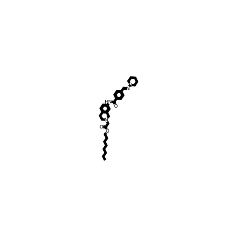 CCCCCCCCOC(=O)CN1CCc2ccc(NC(=O)c3ccc(C=NN4CCCCC4)cc3)cc2C1